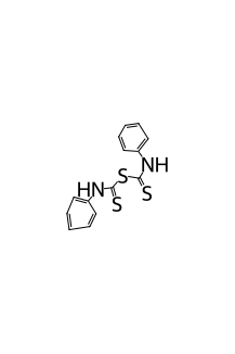 S=C(Nc1ccccc1)SC(=S)Nc1ccccc1